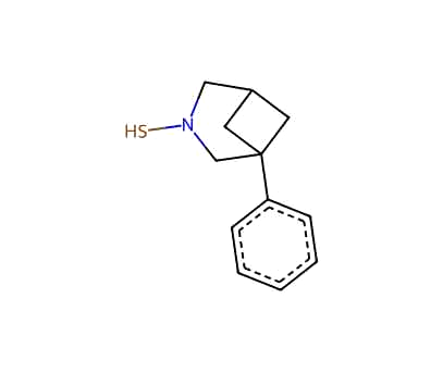 SN1CC2CC(c3ccccc3)(C2)C1